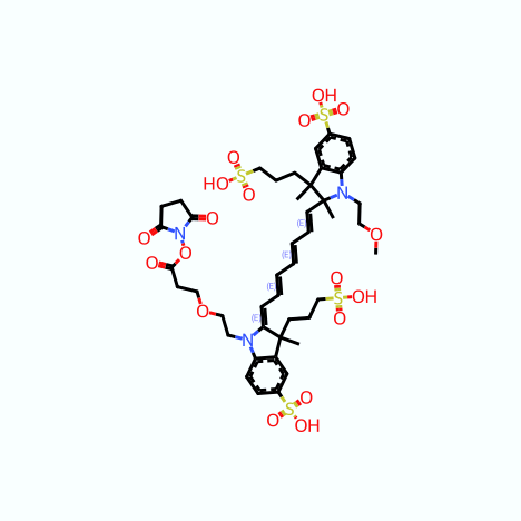 COCCN1c2ccc(S(=O)(=O)O)cc2C(C)(CCCS(=O)(=O)O)C1(C)/C=C/C=C/C=C/C=C1/N(CCOCCC(=O)ON2C(=O)CCC2=O)c2ccc(S(=O)(=O)O)cc2C1(C)CCCS(=O)(=O)O